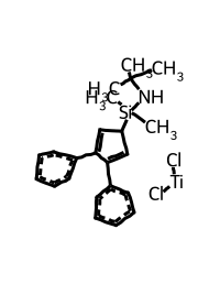 CC(C)(C)N[Si](C)(C)C1C=C(c2ccccc2)C(c2ccccc2)=C1.[Cl][Ti][Cl]